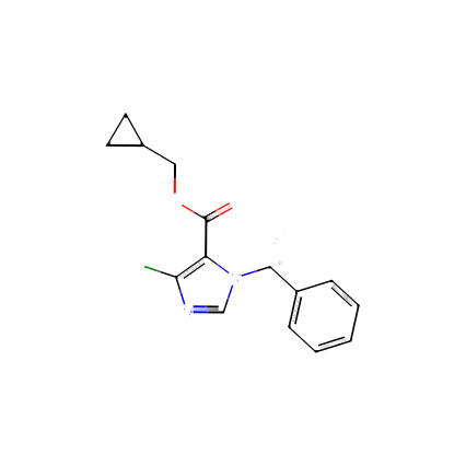 C[C@H](c1ccccc1)n1cnc(Cl)c1C(=O)OCC1CC1